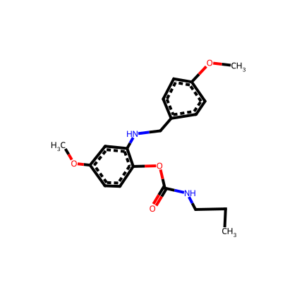 CCCNC(=O)Oc1ccc(OC)cc1NCc1ccc(OC)cc1